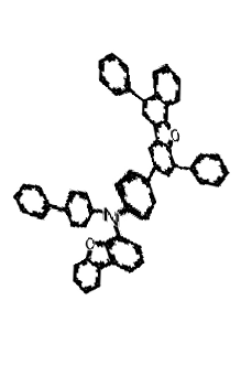 c1ccc(-c2ccc(N(c3ccc(-c4cc(-c5ccccc5)c5oc6c7ccccc7c(-c7ccccc7)cc6c5c4)cc3)c3cccc4c3oc3ccccc34)cc2)cc1